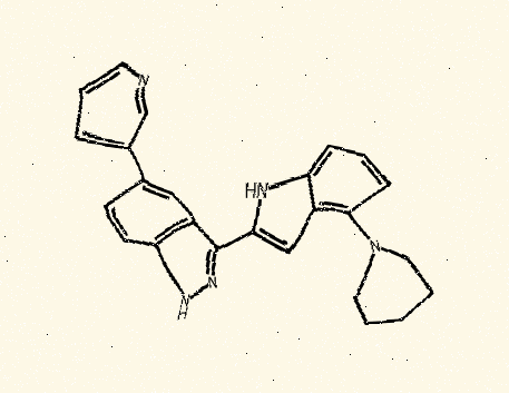 c1cncc(-c2ccc3[nH]nc(-c4cc5c(N6CCCCC6)cccc5[nH]4)c3c2)c1